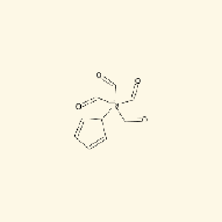 O=[CH][Ta]([CH]=O)([CH]=O)([CH]=O)[CH]1C=CC=C1